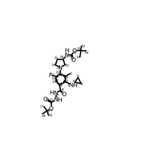 Cc1c(NC2CC2)c(C(=O)NNC(=O)OC(C)(C)C)cc(F)c1N1CCC(NC(=O)OC(C)(C)C)C1